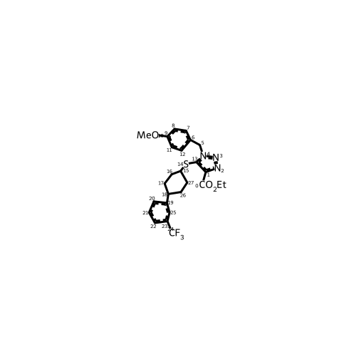 CCOC(=O)c1nnn(Cc2ccc(OC)cc2)c1SC1CCC(c2cccc(C(F)(F)F)c2)CC1